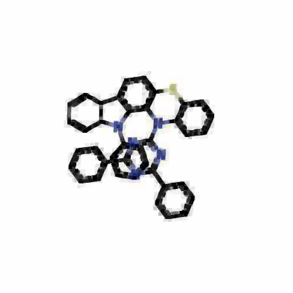 C1=CC2c3ccc4c(c3N(c3ccccc3)C2C=C1)N(c1nc(-c2ccccc2)nc(-c2ccccc2)n1)c1ccccc1S4